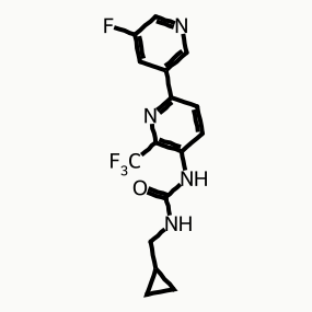 O=C(NCC1CC1)Nc1ccc(-c2cncc(F)c2)nc1C(F)(F)F